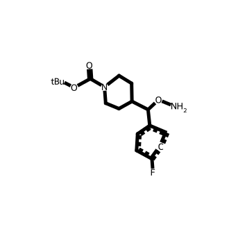 CC(C)(C)OC(=O)N1CCC(C(ON)c2ccc(F)cc2)CC1